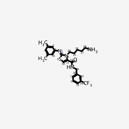 Cc1cc(C)cc(/N=c2\scc(C(=O)NCc3cccc(C(F)(F)F)c3)n2CCCCCN)c1